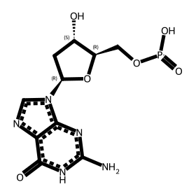 Nc1nc2c(ncn2[C@H]2C[C@H](O)[C@@H](CO[P](=O)O)O2)c(=O)[nH]1